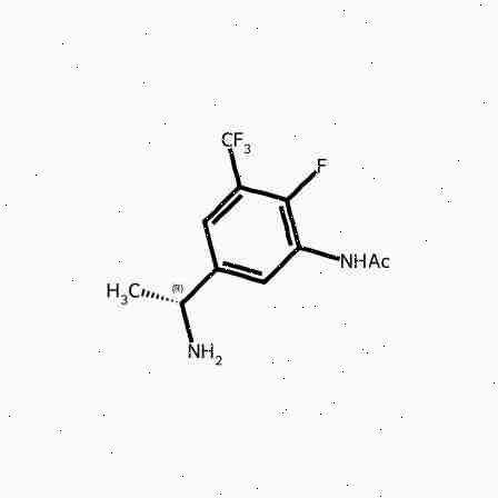 CC(=O)Nc1cc([C@@H](C)N)cc(C(F)(F)F)c1F